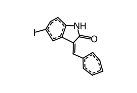 O=C1Nc2ccc(I)cc2C1=Cc1ccccc1